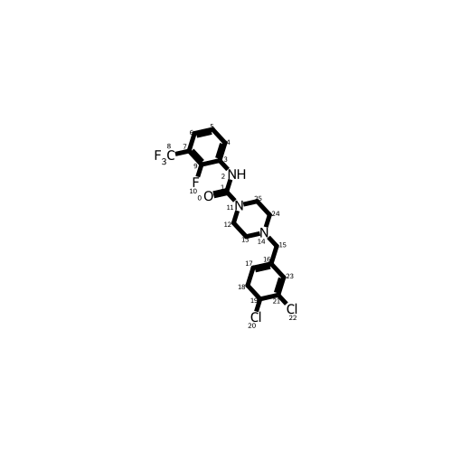 O=C(Nc1cccc(C(F)(F)F)c1F)N1CCN(CC2=CCC(Cl)C(Cl)=C2)CC1